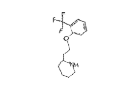 FC(F)(F)c1ccccc1OCCC1CCCCN1